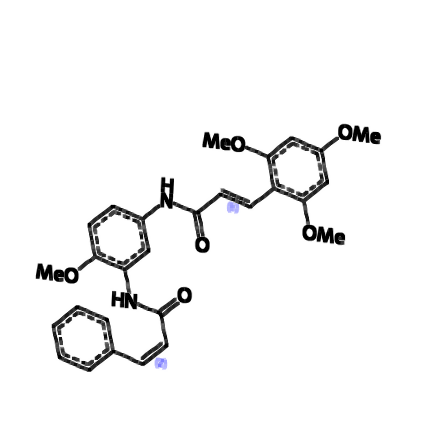 COc1cc(OC)c(/C=C/C(=O)Nc2ccc(OC)c(NC(=O)/C=C\c3ccccc3)c2)c(OC)c1